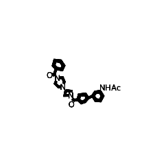 CC(=O)Nc1cccc(-c2ccc(C(=O)N3CC(N4CCN(C(=O)c5ccccc5)CC4)C3)cc2)c1